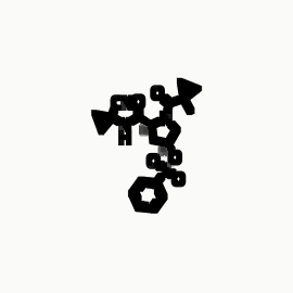 CC1(C(=O)N2C[C@@H](OS(=O)(=O)c3ccccc3)C[C@H]2C(=O)NC2(C#N)CC2)CC1